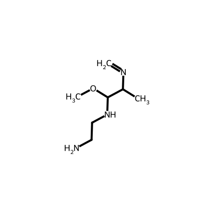 C=NC(C)C(NCCN)OC